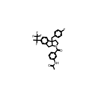 CC(=O)Nc1cccc(C(=O)N2CCC3(Cc4ccc(F)cc4)c4ccc(C(C)(F)C(F)(F)F)cc4CC23)c1